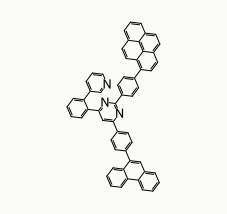 c1cncc(-c2ccccc2-c2cc(-c3ccc(-c4cc5ccccc5c5ccccc45)cc3)nc(-c3ccc(-c4ccc5ccc6cccc7ccc4c5c67)cc3)n2)c1